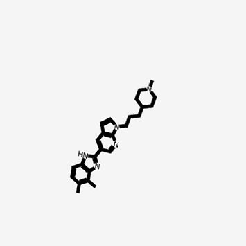 Cc1ccc2[nH]c(-c3cnc4c(ccn4CCCC4CCN(C)CC4)c3)nc2c1C